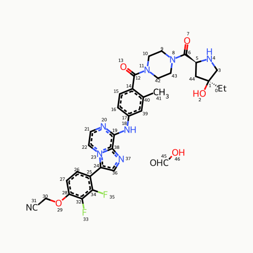 CC[C@@]1(O)CN[C@H](C(=O)N2CCN(C(=O)c3ccc(Nc4nccn5c(-c6ccc(OCC#N)c(F)c6F)cnc45)cc3C)CC2)C1.O=CO